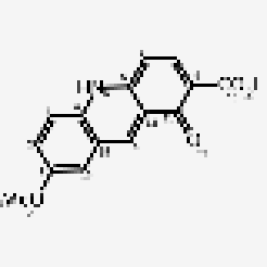 COc1ccc2[nH]c3ccc(C(=O)O)c(=O)c-3cc2c1